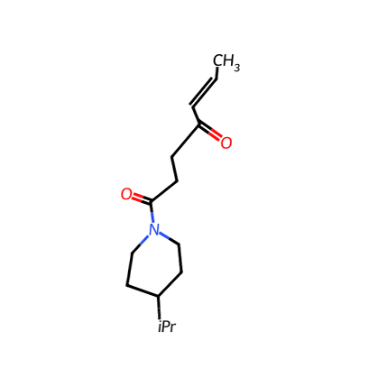 C/C=C/C(=O)CCC(=O)N1CCC(C(C)C)CC1